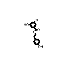 O=C(OCCc1ccc(O)cc1)c1cc(O)cc(O)c1